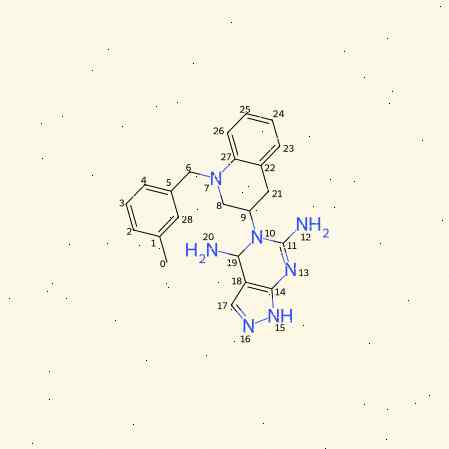 Cc1cccc(CN2CC(N3C(N)=Nc4[nH]ncc4C3N)Cc3ccccc32)c1